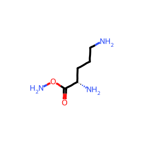 NCCC[C@H](N)C(=O)ON